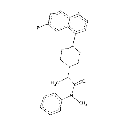 CC(C(=O)N(C)c1ccccc1)C1CCC(c2ccnc3ccc(F)cc23)CC1